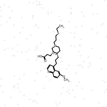 CCSCCCN1CC[C@@H](CCCc2ccnc3ccc(OC)cc23)[C@@H](CCC(=O)O)C1